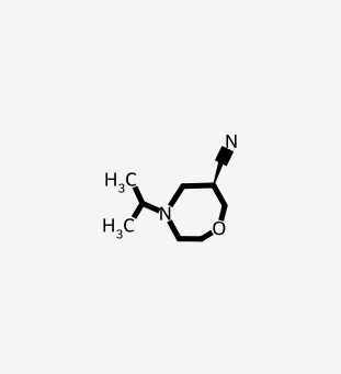 CC(C)N1CCOC[C@H](C#N)C1